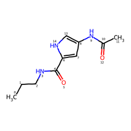 CCCNC(=O)c1cc(NC(C)=O)c[nH]1